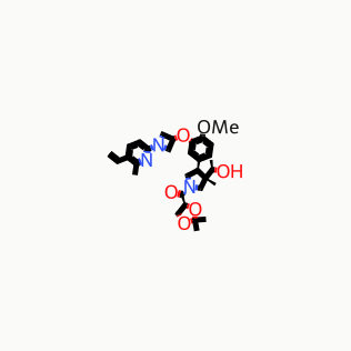 C=Cc1ccc(N2CC(Oc3cc([C@@H]4CN(C(=O)[C@@H]5COC(C)(C)O5)C[C@@]4(C)[C@@H](C)O)ccc3OC)C2)nc1C